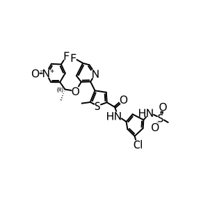 Cc1sc(C(=O)Nc2cc(Cl)cc(NS(C)(=O)=O)c2)cc1-c1ncc(F)cc1O[C@H](C)c1cc(F)c[n+]([O-])c1